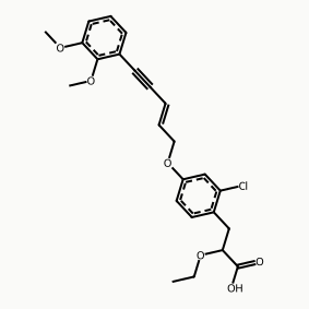 CCOC(Cc1ccc(OCC=CC#Cc2cccc(OC)c2OC)cc1Cl)C(=O)O